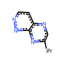 CC(C)c1cnc2ccnnc2n1